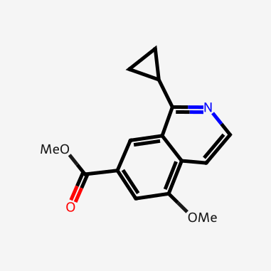 COC(=O)c1cc(OC)c2ccnc(C3CC3)c2c1